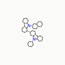 c1ccc(-n2c3ccccc3c3ccc(-c4cccc5c6ccccc6n(-c6ccc7ccccc7c6)c45)cc32)cc1